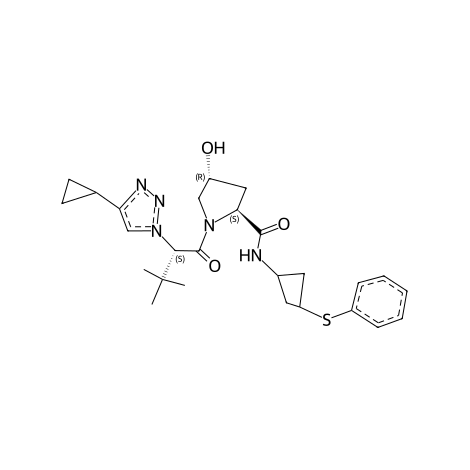 CC(C)(C)[C@@H](C(=O)N1C[C@H](O)C[C@H]1C(=O)NC1CC(Sc2ccccc2)C1)n1cc(C2CC2)nn1